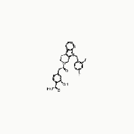 O=C(O)c1ccc(CC(=O)N2CCc3c(n(Cc4ccc(F)cc4F)c4ncccc34)C2)cc1O